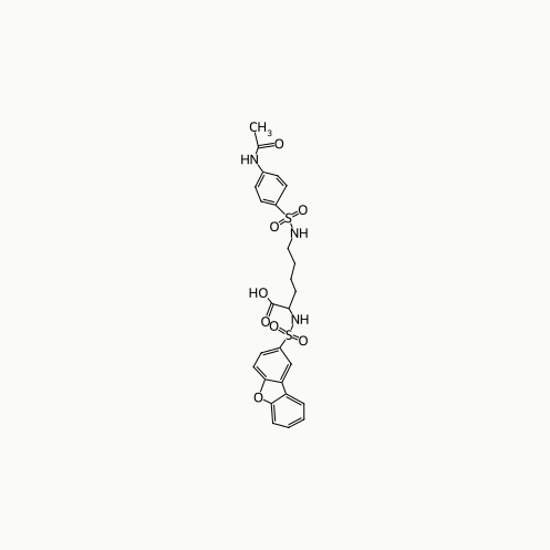 CC(=O)Nc1ccc(S(=O)(=O)NCCCCC(NS(=O)(=O)c2ccc3oc4ccccc4c3c2)C(=O)O)cc1